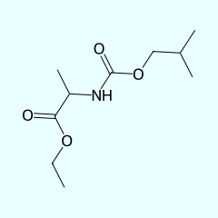 CCOC(=O)C(C)NC(=O)OCC(C)C